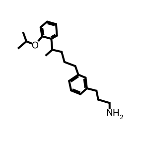 CC(C)Oc1ccccc1C(C)CCCc1cccc(CCCN)c1